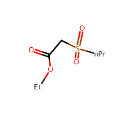 CCCS(=O)(=O)CC(=O)OCC